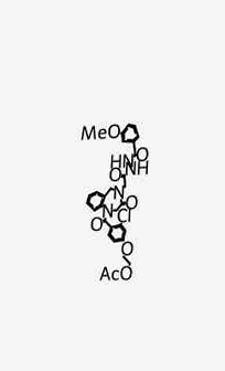 COc1cccc(C(=O)NNC(=O)CN2Cc3ccccc3N(C(=O)c3ccc(OCCOC(C)=O)cc3Cl)CC2=O)c1